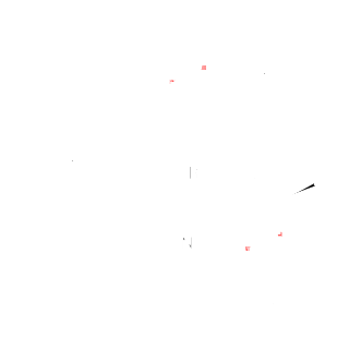 CC1=C2B(c3cc(C(C)(C)C)ccc3Cc3ccccc3-c3ccccc3)c3cc(C(C)(C)C)ccc3N(c3ccccc3-c3ccccc3)C2=CC[C@@H]1C